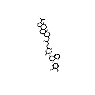 C=C(C)C1CCC2C3CC=C4CC(OC(=O)CCC(=O)OC(C)N(C)[C@H]5CC[C@@H](c6ccc(Cl)c(Cl)c6)c6ccccc65)CCC4(C)C3CCC12C